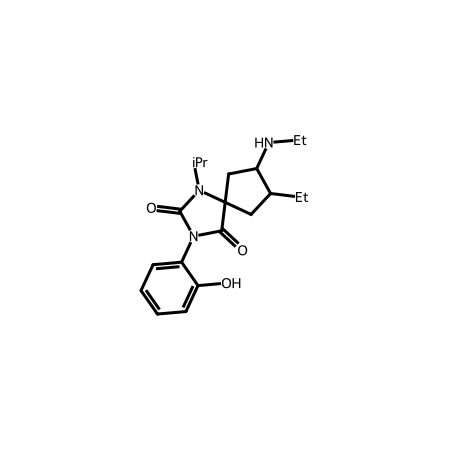 CCNC1CC2(CC1CC)C(=O)N(c1ccccc1O)C(=O)N2C(C)C